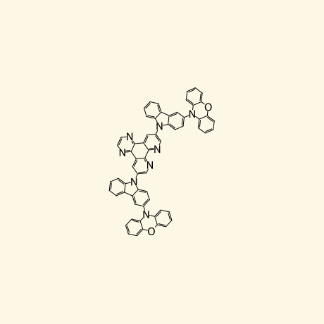 c1ccc2c(c1)Oc1ccccc1N2c1ccc2c(c1)c1ccccc1n2-c1cnc2c(c1)c1nccnc1c1cc(-n3c4ccccc4c4cc(N5c6ccccc6Oc6ccccc65)ccc43)cnc12